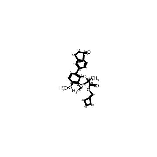 COc1ccc(-c2ccc3c(c2)CCC3=O)c(OC(C)(C)C(=O)OCC2CCC2)c1OC